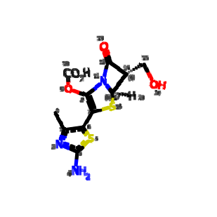 Cc1nc(N)sc1C1=C(OC(=O)O)N2C(=O)[C@H](CO)[C@H]2S1